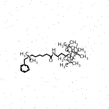 C[N+](C)(CCCCCC(=O)NCCC[Si](O[Si](C)(C)C)(O[Si](C)(C)C)O[Si](C)(C)C)Cc1ccccc1